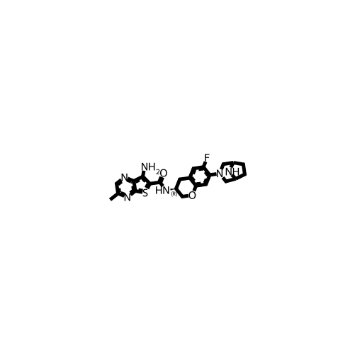 Cc1cnc2c(N)c(C(=O)N[C@H]3COc4cc(N5CC6CCC(C5)N6)c(F)cc4C3)sc2n1